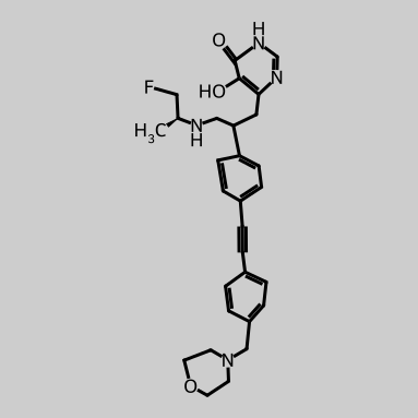 C[C@@H](CF)NCC(Cc1nc[nH]c(=O)c1O)c1ccc(C#Cc2ccc(CN3CCOCC3)cc2)cc1